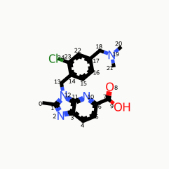 Cc1nc2ccc(C(=O)O)nc2n1Cc1ccc(CN(C)C)cc1Cl